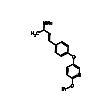 CNC(C)/C=C/c1ccc(Oc2ccc(OC(C)C)nc2)cc1